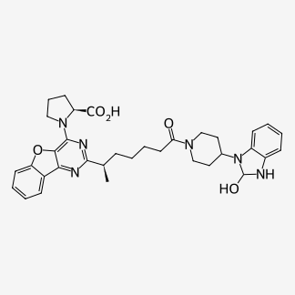 C[C@H](CCCCC(=O)N1CCC(N2c3ccccc3NC2O)CC1)c1nc(N2CCC[C@H]2C(=O)O)c2oc3ccccc3c2n1